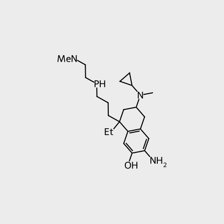 CCC1(CCCPCCNC)CC(N(C)C2CC2)Cc2cc(N)c(O)cc21